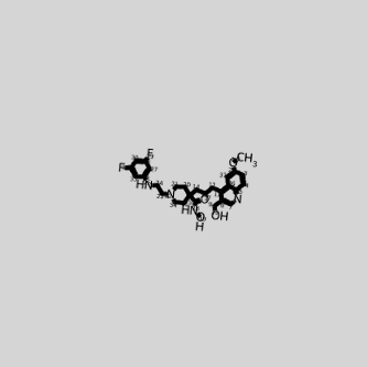 COc1ccc2ncc(CO)c(CCCC3(C(=O)NO)CCN(CCNc4cc(F)cc(F)c4)CC3)c2c1